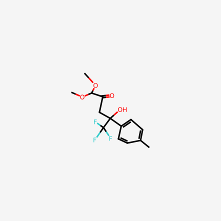 COC(OC)C(=O)CC(O)(c1ccc(C)cc1)C(F)(F)F